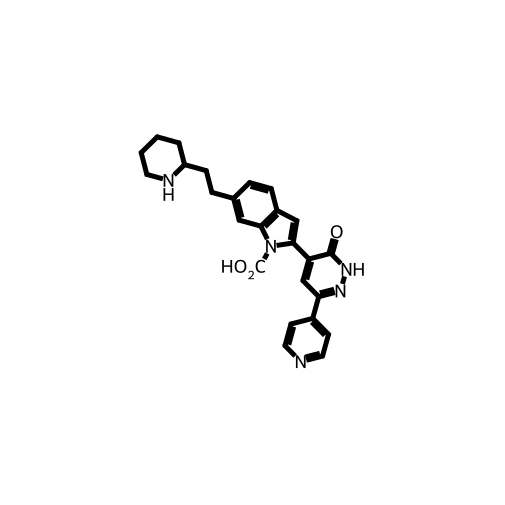 O=C(O)n1c(-c2cc(-c3ccncc3)n[nH]c2=O)cc2ccc(CCC3CCCCN3)cc21